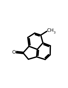 Cc1ccc2c3c(cccc13)CC2=O